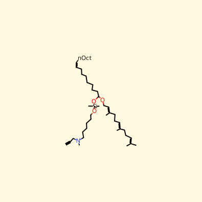 C#CCN(C)CCCCCCO[Si](C)(C)OC(CCCCCCC/C=C\CCCCCCCC)OC/C=C(\C)CC/C=C(\C)CCC=C(C)C